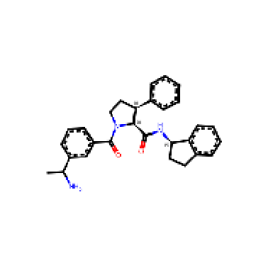 CC(N)c1cccc(C(=O)N2CC[C@@H](c3ccccc3)[C@H]2C(=O)N[C@@H]2CCc3ccccc32)c1